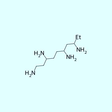 CCC(N)CC(N)CCC(N)CCN